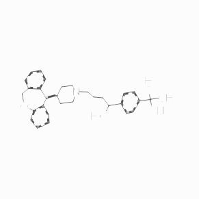 CC(C)(C)c1ccc(C(O)CCCN2CCC(=C3c4ccccc4COc4ccccc43)CC2)cc1